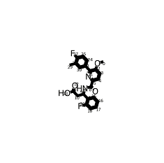 COc1ccc(C(=O)NC(CC(=O)O)c2ccccc2F)nc1-c1ccc(F)c(C)c1